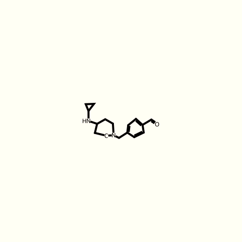 O=Cc1ccc(CN2CCC(NC3CC3)CC2)cc1